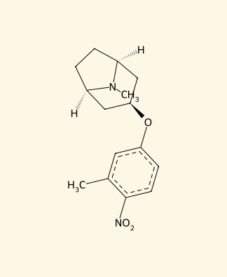 Cc1cc(O[C@H]2C[C@H]3CC[C@@H](C2)N3C)ccc1[N+](=O)[O-]